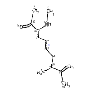 CN[C@@H](C/C=C/C[C@H](N)C(C)=O)C(C)=O